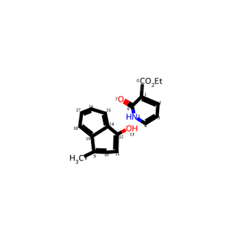 CCOC(=O)c1ccc[nH]c1=O.Cc1ccc(O)c2ccccc12